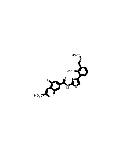 CCCC(C)OCc1cccc(-c2csc(NC(=O)c3cc(F)c(C=C(C)C(=O)O)c(F)c3)n2)c1OC